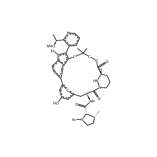 CCn1c(-c2cccnc2[C@H](C)OC)c2c3cc(ccc31)-c1cc(O)cc(c1)C[C@H](NC(=O)[C@@H]1[C@H](C)CCN1C(C)=O)C(=O)N1CCC[C@H](N1)C(=O)OCC(C)(C)C2